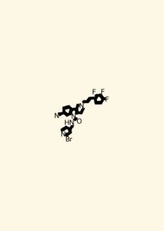 N#Cc1ccc2c3c(n(C(=O)NCc4ccnc(Br)c4)c2c1)CCN(CC=Cc1ccc(F)c(F)c1F)C3